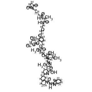 Cc1c(-c2ccc(-c3ccc4c(c3)N(C(=O)Nc3nc5ccccc5s3)CCC4)nc2C(=O)O)cnn1CC12CC3(C)CC(C)(C1)CC(OCCN(C)C(=O)OCc1ccc(OCCOCCNC(=O)[C@H](C)NC(=O)CCCCCN4C(=O)C=CC4=O)cc1O[C@H]1C[C@@H](O)C[C@@H](C=O)O1)(C3)C2